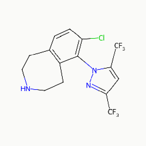 FC(F)(F)c1cc(C(F)(F)F)n(-c2c(Cl)ccc3c2CCNCC3)n1